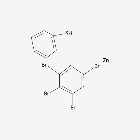 Brc1cc(Br)c(Br)c(Br)c1.Sc1ccccc1.[Zn]